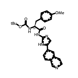 COc1ccc(C[C@H](NC(=O)OC(C)(C)C)C(=O)Nc2ncc(-c3ccc4cnccc4c3)[nH]2)cc1